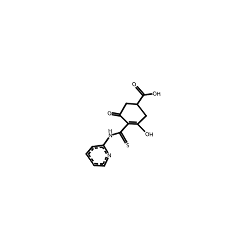 O=C1CC(C(=O)O)CC(O)=C1C(=S)Nc1ccccn1